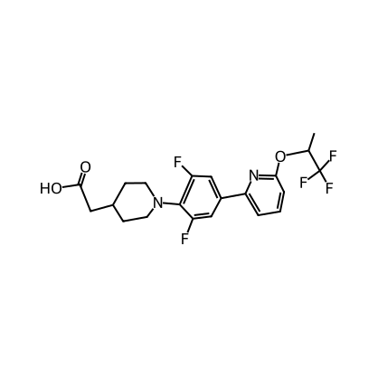 CC(Oc1cccc(-c2cc(F)c(N3CCC(CC(=O)O)CC3)c(F)c2)n1)C(F)(F)F